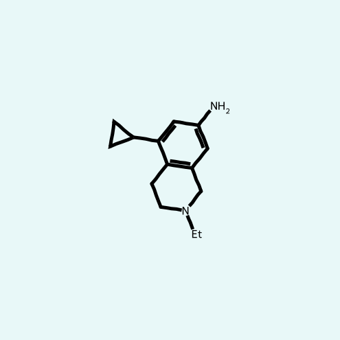 CCN1CCc2c(cc(N)cc2C2CC2)C1